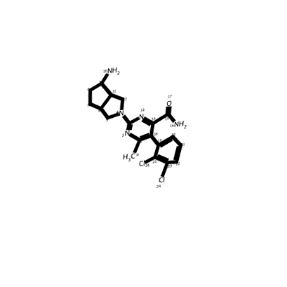 Cc1nc(N2CC3CCC(N)C3C2)nc(C(N)=O)c1-c1cccc(Cl)c1Cl